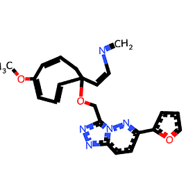 C=N/C=C\C1(OCc2nnc3ccc(-c4ccco4)nn23)/C=C/C=C(OC)\C=C/C1